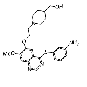 COc1cc2ncnc(Sc3cccc(N)c3)c2cc1OCCN1CCC(CO)CC1